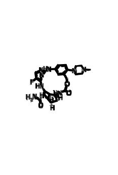 CN1CCN(c2ccc3cc2COC(=O)N[C@@H]2C[C@@H]4C[C@H]2[C@@H](Nc2nc(ncc2F)N3)[C@H]4C(N)=O)CC1